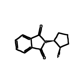 O=C1c2ccccc2C(=O)N1[C@H]1CCC[C@H]1F